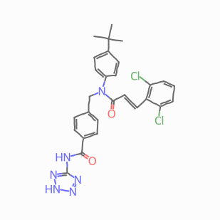 CC(C)(C)c1ccc(N(Cc2ccc(C(=O)Nc3nn[nH]n3)cc2)C(=O)/C=C/c2c(Cl)cccc2Cl)cc1